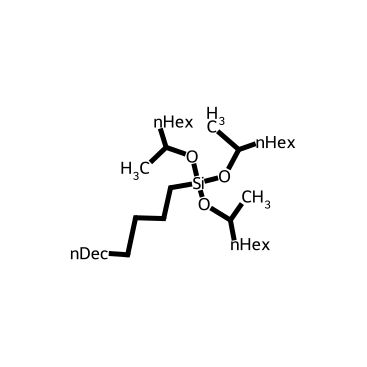 CCCCCCCCCCCCCC[Si](OC(C)CCCCCC)(OC(C)CCCCCC)OC(C)CCCCCC